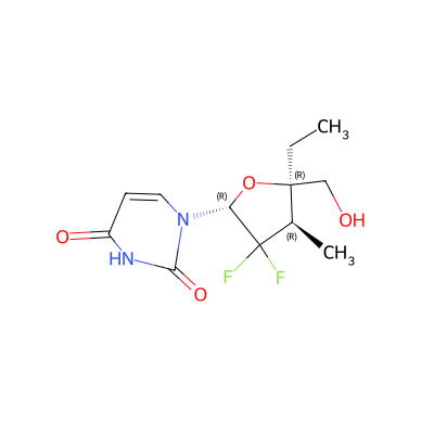 CC[C@@]1(CO)O[C@@H](n2ccc(=O)[nH]c2=O)C(F)(F)[C@@H]1C